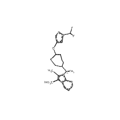 Cc1c(C(=O)O)c2cccnc2n1[C@H](C)C1CCC(Oc2cnn(C(F)F)c2)CC1